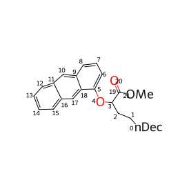 CCCCCCCCCCCCC(Oc1cccc2cc3ccccc3cc12)C(=O)OC